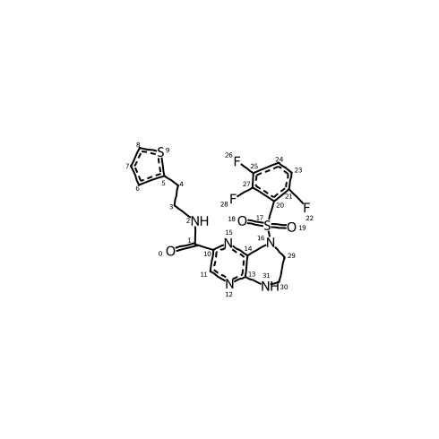 O=C(NCCc1cccs1)c1cnc2c(n1)N(S(=O)(=O)c1c(F)ccc(F)c1F)CCN2